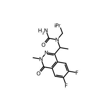 CC(C)CN(C(N)=O)C(C)c1nn(C)c(=O)c2cc(F)c(F)cc12